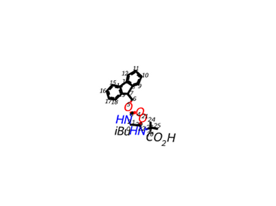 CC[C@H](C)[C@H](NC(=O)OCC1c2ccccc2-c2ccccc21)C(=O)NC(C)(C)C(=O)O